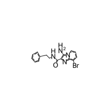 Nc1c(C(=O)NCCc2ccccc2)nc2c(Br)cccn12